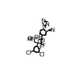 N#Cc1cc(C(=O)C[C@](C[NH+]([O-])O)(c2cc(Cl)cc(Cl)c2)C(F)(F)F)ccc1-n1cncn1